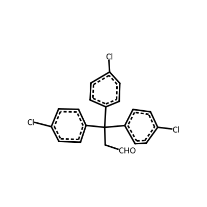 O=CCC(c1ccc(Cl)cc1)(c1ccc(Cl)cc1)c1ccc(Cl)cc1